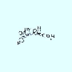 CC(C)N1C(=O)[C@@H](c2ccc(F)cc2)C[C@H]1/C=C/C(=O)C[C@@H](O)CC(=O)O